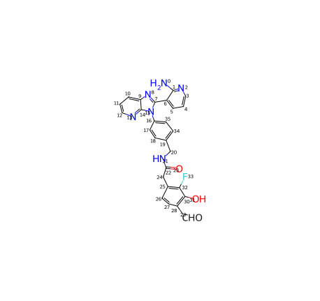 Nc1ncccc1-c1nc2cccnc2n1-c1ccc(CNC(=O)Cc2ccc(C=O)c(O)c2F)cc1